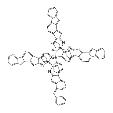 C1=c2c(ccc3c2=Cc2nc(-c4cccc[c]4[Ge]([c]4ccccc4-c4ccc5c(n4)C=c4c-5ccc5c4=Cc4ccccc4-5)([c]4ccccc4-c4ccc5c(n4)C=c4c-5ccc5c4=Cc4ccccc4-5)[c]4ccccc4-c4ccc5c(n4)C=c4c-5ccc5c4=Cc4ccccc4-5)ccc2-3)-c2ccccc21